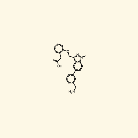 Cn1nc(COc2ccccc2CC(=O)O)c2cc(-c3cccc(CN)c3)ccc21